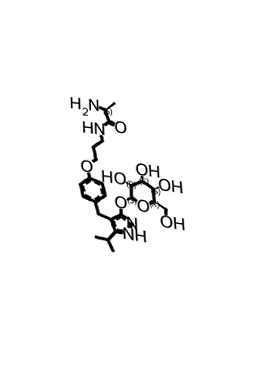 CC(C)c1[nH]nc(O[C@@H]2O[C@H](CO)[C@@H](O)[C@H](O)[C@H]2O)c1Cc1ccc(OCCCNC(=O)[C@H](C)N)cc1